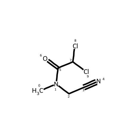 CN(CC#N)C(=O)C(Cl)Cl